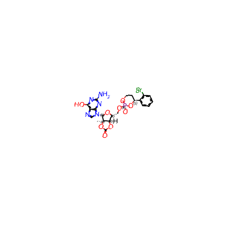 C[C@@]12OC(=O)O[C@@H]1[C@@H](CO[P@@]1(=O)OCC[C@@H](c3ccccc3Br)O1)O[C@H]2n1cnc2c(O)nc(N)nc21